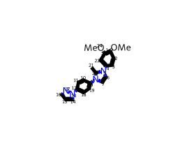 COc1ccc(N2C=CN(c3ccc(-n4cccn4)cc3)C2C)cc1OC